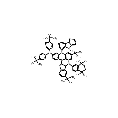 CC(C)(C)c1ccc(N(c2ccc(C(C)(C)C)cc2)c2ccc3c(c2)N(c2cccc4c2oc2ccccc24)c2cc(C(C)(C)C)cc4c2B3C2Sc3ccc(C(C)(C)C)cc3C2N4c2ccc3c(c2)C(C)(C)CCC3(C)C)cc1